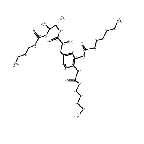 CCCCCOC(=O)Oc1ccc(C[C@H](N)C(=O)O[C@@H](C)C(C)OC(=O)OCCCC)cc1OC(=O)OCCCCC